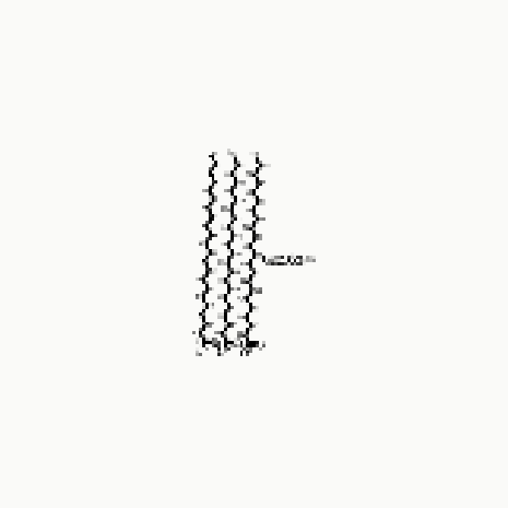 CCCCCCCCCCCCCCCCCCCCCC(=O)[O-].CCCCCCCCCCCCCCCCCCCCCC(=O)[O-].CCCCCCCCCCCCCCCCCCCCCC(=O)[O-].[Cl-].[Cl-].[Cl-].[Cr+3].[Cr+3]